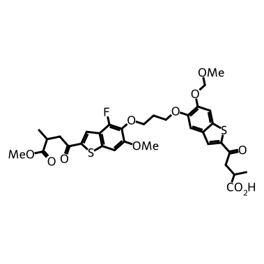 COCOc1cc2sc(C(=O)CC(C)C(=O)O)cc2cc1OCCCOc1c(OC)cc2sc(C(=O)CC(C)C(=O)OC)cc2c1F